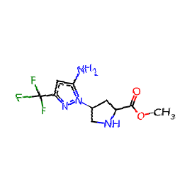 COC(=O)C1CC(n2nc(C(F)(F)F)cc2N)CN1